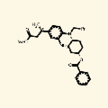 COC(=O)C[C@@H](C)c1ccc(N(CC(C)C)[C@H]2CC[C@@H](OC(=O)c3ccccc3)CC2)c([N+](=O)[O-])c1